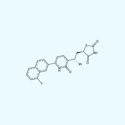 CC(C)[C@@H](C[C@H]1SC(=O)NC1=O)c1ccc(-c2ccc3cccc(F)c3c2)[nH]c1=O